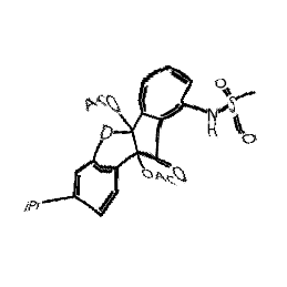 CC(=O)OC12Oc3cc(C(C)C)ccc3C1(OC(C)=O)C(=O)c1c(NS(C)(=O)=O)cccc12